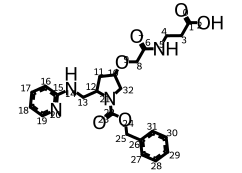 O=C(O)CCNC(=O)COC1CC(CNc2ccccn2)N(C(=O)OCc2ccccc2)C1